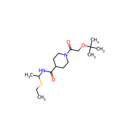 CCSC(C)NC(=O)C1CCN(C(=O)COC(C)(C)C)CC1